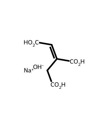 O=C(O)C=C(CC(=O)O)C(=O)O.[Na+].[OH-]